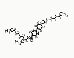 CCCCCCCCOc1ccc(-c2ccc(C(=O)OCC(C)CCCCCC)cn2)cc1